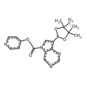 CC1(C)OB(c2cn(C(=O)Oc3ccncc3)c3cncnc23)OC1(C)C